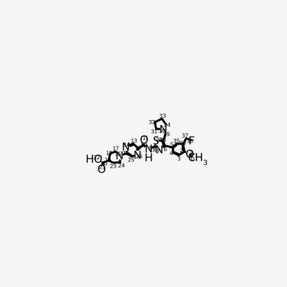 COc1ccc(-c2nc(NC(=O)c3cnc(N4CCC(C(=O)O)CC4)cn3)sc2CN2CCCC2)cc1CF